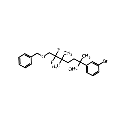 CC(C=O)(CCC(C)(C)C(F)(F)COCc1ccccc1)c1cccc(Br)c1